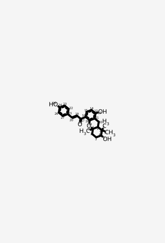 CC12CCC(O)C(C)(C)C1Cc1c(O)ccc(C(=O)C=Cc3ccc(O)cc3)c1O2